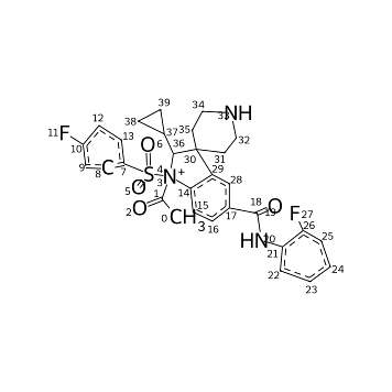 CC(=O)[N+]1(S(=O)(=O)c2ccc(F)cc2)c2ccc(C(=O)Nc3ccccc3F)cc2C2(CCNCC2)C1C1CC1